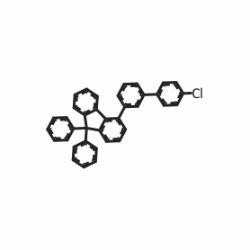 Clc1ccc(-c2cccc(-c3cccc4c3-c3ccccc3C4(c3ccccc3)c3ccccc3)c2)cc1